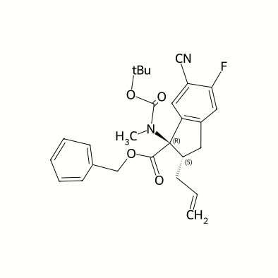 C=CC[C@H]1Cc2cc(F)c(C#N)cc2[C@]1(C(=O)OCc1ccccc1)N(C)C(=O)OC(C)(C)C